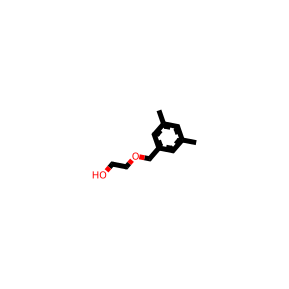 Cc1cc(C)cc(COCCO)c1